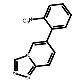 O=[N+]([O-])c1ccccc1-c1ccc2nncn2c1